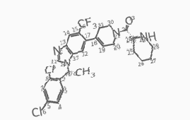 C[C@H](c1ccc(Cl)cc1Cl)n1cnc2cc(C(F)(F)F)c(C3=CCN(C(=O)[C@H]4CCCCN4)CC3)cc21